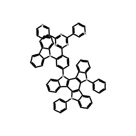 c1ccc(-n2c3ccccc3c3c2c2c4ccccc4n(-c4ccc(-c5nc(-c6cccnc6)nc(-c6cccnc6)n5)c(-n5c6ccccc6c6ccccc65)c4)c2c2c4ccccc4n(-c4ccccc4)c32)cc1